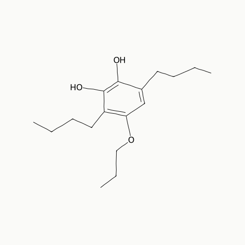 CCCCc1cc(OCCC)c(CCCC)c(O)c1O